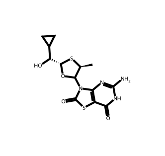 C[C@@H]1S[C@@H](C(O)C2CC2)OC1n1c(=O)sc2c(=O)[nH]c(N)nc21